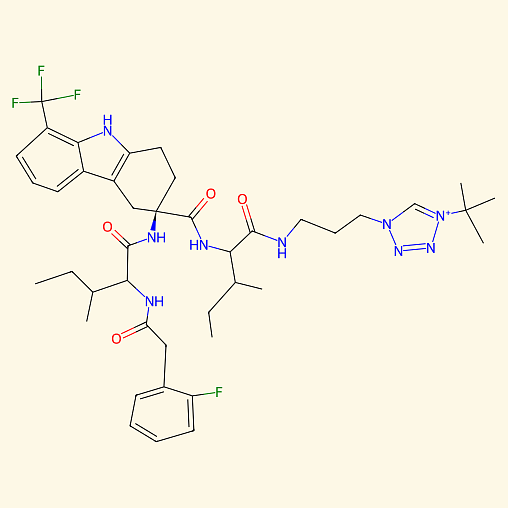 CCC(C)C(NC(=O)Cc1ccccc1F)C(=O)N[C@]1(C(=O)NC(C(=O)NCCCn2c[n+](C(C)(C)C)nn2)C(C)CC)CCc2[nH]c3c(C(F)(F)F)cccc3c2C1